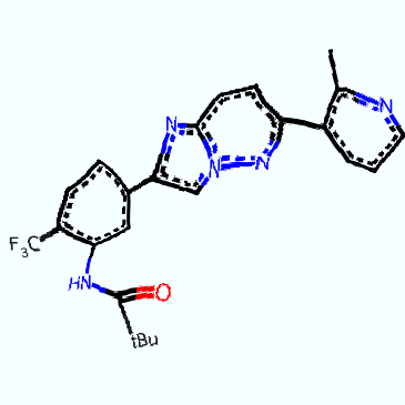 Cc1ncccc1-c1ccc2nc(-c3ccc(C(F)(F)F)c(NC(=O)C(C)(C)C)c3)cn2n1